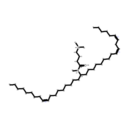 CCCCC/C=C\C/C=C\CCCCCCCCC(CCCCCCCC/C=C\CCCCCCCC)N(C)C(=O)CCCN(C)C